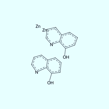 Oc1cccc2cccnc12.Oc1cccc2cccnc12.[Zn].[Zn]